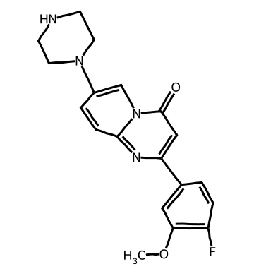 COc1cc(-c2cc(=O)n3cc(N4CCNCC4)ccc3n2)ccc1F